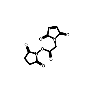 O=C(CN1C(=O)C=CC1=O)ON1C(=O)CCC1=O